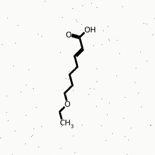 CCOCCCCC=CC(=O)O